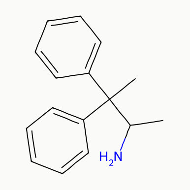 CC(N)C(C)(c1ccccc1)c1ccccc1